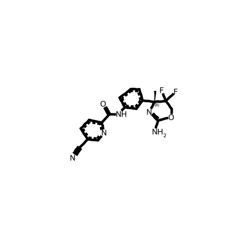 C[C@]1(c2cccc(NC(=O)c3ccc(C#N)cn3)c2)N=C(N)OCC1(F)F